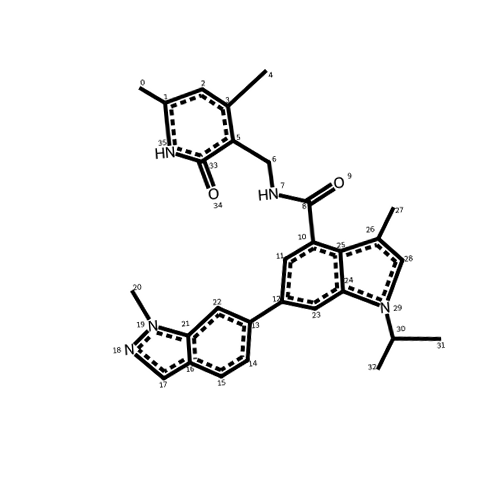 Cc1cc(C)c(CNC(=O)c2cc(-c3ccc4cnn(C)c4c3)cc3c2c(C)cn3C(C)C)c(=O)[nH]1